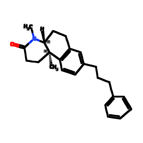 CN1C(=O)CC[C@]2(C)c3ccc(CCCc4ccccc4)cc3CC[C@@H]12